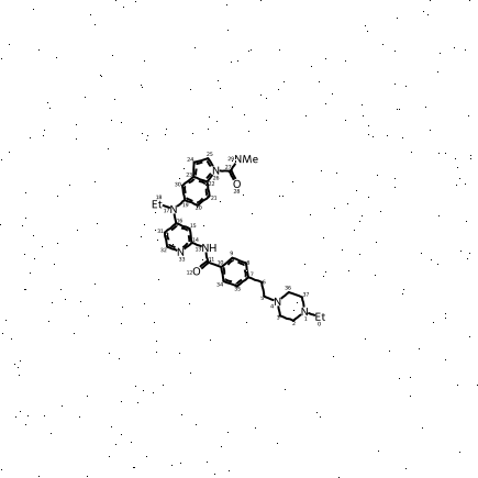 CCN1CCN(CCc2ccc(C(=O)Nc3cc(N(CC)c4ccc5c(ccn5C(=O)NC)c4)ccn3)cc2)CC1